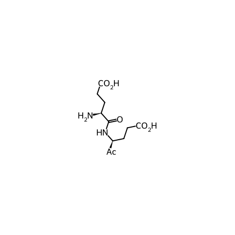 [CH2]C(=O)[C@H](CCC(=O)O)NC(=O)[C@@H](N)CCC(=O)O